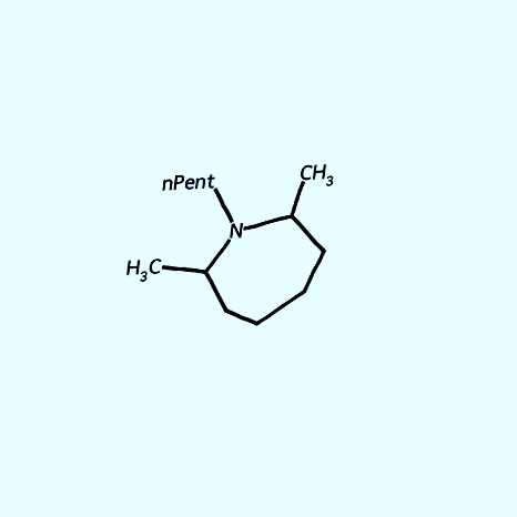 CCCCCN1C(C)CCCCC1C